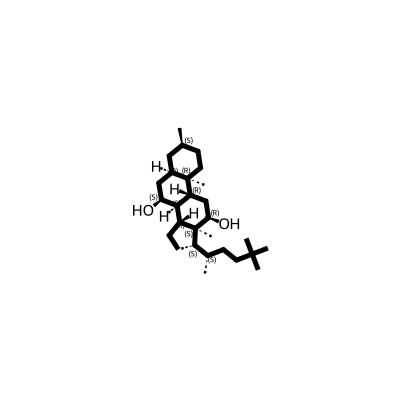 C[C@H]1CC[C@]2(C)[C@H](C1)C[C@H](O)[C@H]1[C@H]2C[C@@H](O)[C@]2(C)[C@@H]1CC[C@H]2[C@@H](C)CCC(C)(C)C